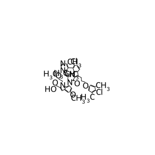 COCCn1c(C(=O)O)cc2cc(OC)cc(N3C[C@@H](C)n4c(c(CCCOc5cc(C)c(Cl)c(C)c5)c5ccc(Cl)c(-c6c(C)ncnc6C)c54)C3=O)c21